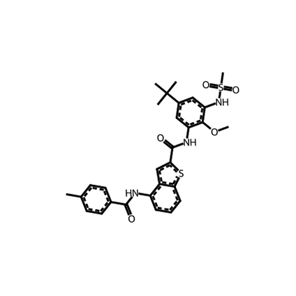 COc1c(NC(=O)c2cc3c(NC(=O)c4ccc(C)cc4)cccc3s2)cc(C(C)(C)C)cc1NS(C)(=O)=O